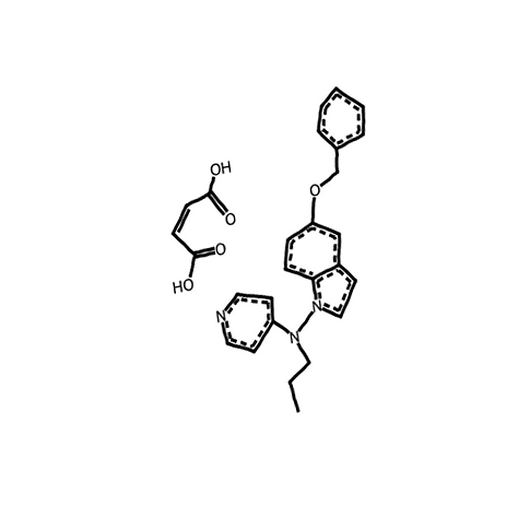 CCCN(c1ccncc1)n1ccc2cc(OCc3ccccc3)ccc21.O=C(O)/C=C\C(=O)O